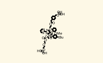 COc1ccccc1Oc1c(OCCOC(=O)Cc2ccc(CON(O)O)cc2)nc(-c2ncccn2)nc1N(C(C)OC(=O)OCCOCCON(O)O)S(=O)(=O)c1ccc(C(C)(C)C)cc1